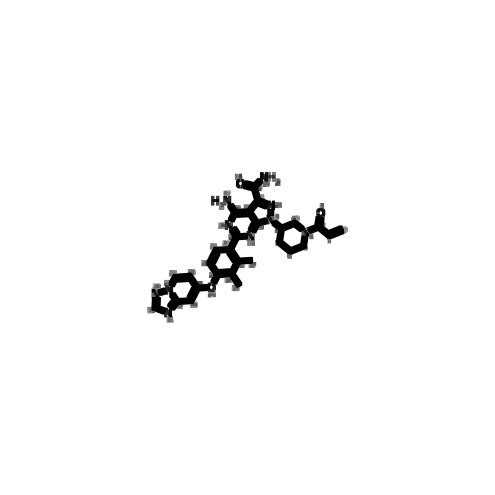 C=CC(=O)N1CCCC(n2nc(C(N)=O)c3c(N)nc(-c4ccc(Oc5ccn6ncnc6c5)c(C)c4C)nc32)C1